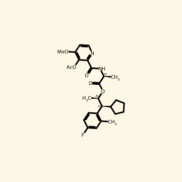 COc1ccnc(C(=O)N[C@@H](C)C(=O)O[C@H](C)[C@H](c2ccc(F)cc2C)C2CCCC2)c1OC(C)=O